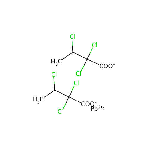 CC(Cl)C(Cl)(Cl)C(=O)[O-].CC(Cl)C(Cl)(Cl)C(=O)[O-].[Pb+2]